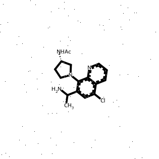 CC(=O)N[C@H]1CCN(c2c(C(C)N)cc(Cl)c3cccnc23)C1